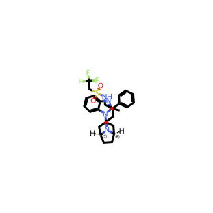 Cc1nc2ccccc2n1C1C[C@H]2CC[C@@H](C1)N2CCC(CNS(=O)(=O)CC(F)(F)F)c1ccccc1